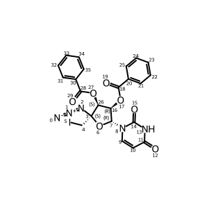 [N-]=[N+]=N[C@]1(CI)O[C@@H](n2ccc(=O)[nH]c2=O)[C@H](OC(=O)c2ccccc2)[C@@H]1OC(=O)c1ccccc1